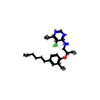 CCCCCc1ccc(OC(C)CNc2ncnc(C)c2Cl)c(C)c1